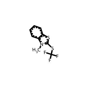 C[n+]1c(SC(F)(F)F)sc2ccccc21